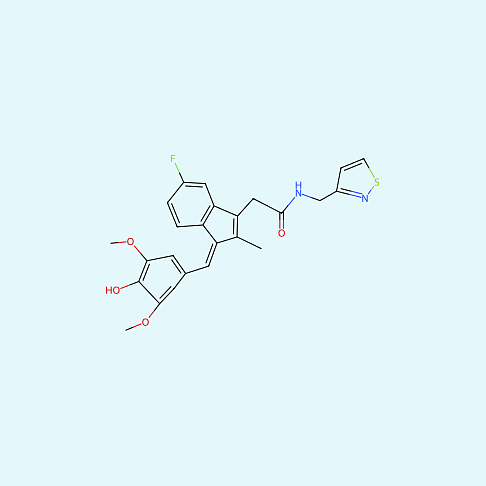 COc1cc(/C=C2/C(C)=C(CC(=O)NCc3ccsn3)c3cc(F)ccc32)cc(OC)c1O